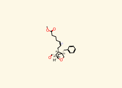 COC(=O)CCC/C=C\C[C@@H]1[C@@H](C=O)[C@H]2C[C@]1(Cc1ccccc1)CO2